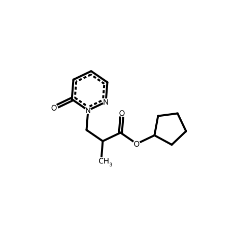 CC(Cn1ncccc1=O)C(=O)OC1CCCC1